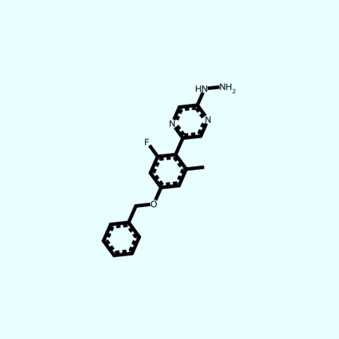 Cc1cc(OCc2ccccc2)cc(F)c1-c1cnc(NN)cn1